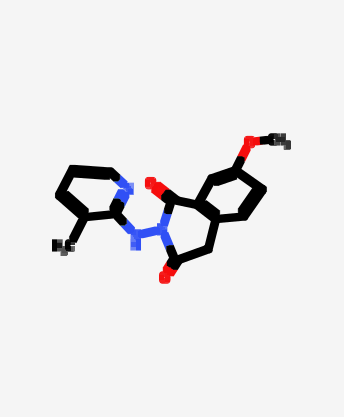 COc1ccc2c(c1)C(=O)N(Nc1ncccc1C)C(=O)C2